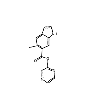 Cc1cc2cc[nH]c2cc1C(=O)Oc1cnccn1